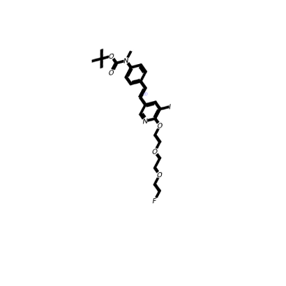 CN(C(=O)OC(C)(C)C)c1ccc(/C=C/c2cnc(OCCOCCOCCF)c(I)c2)cc1